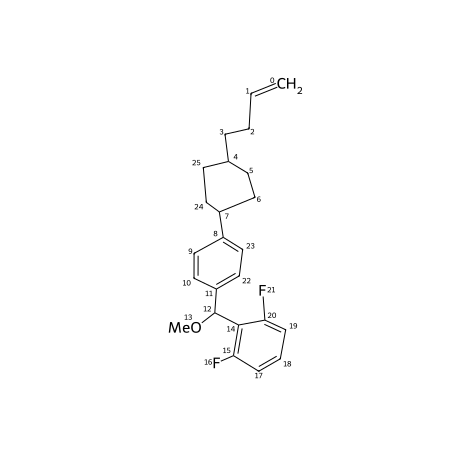 C=CCCC1CCC(c2ccc(C(OC)c3c(F)cccc3F)cc2)CC1